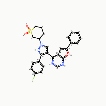 O=S1(=O)CCCC(n2cc(-c3ncnc4oc(-c5ccccc5)cc34)c(-c3ccc(F)cc3)n2)C1